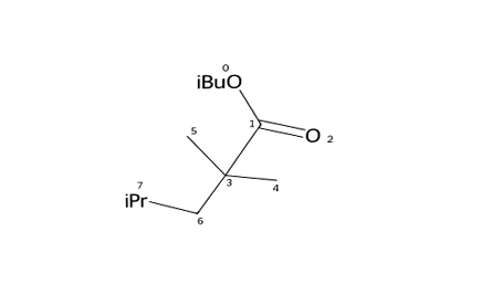 CC(C)COC(=O)C(C)(C)CC(C)C